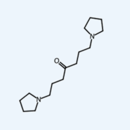 O=C(CCCN1CCCC1)CCCN1CCCC1